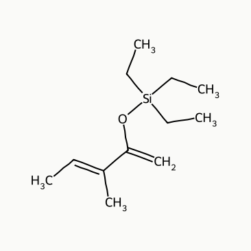 C=C(O[Si](CC)(CC)CC)/C(C)=C/C